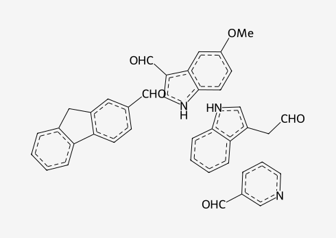 COc1ccc2[nH]cc(C=O)c2c1.O=CCc1c[nH]c2ccccc12.O=Cc1ccc2c(c1)Cc1ccccc1-2.O=Cc1cccnc1